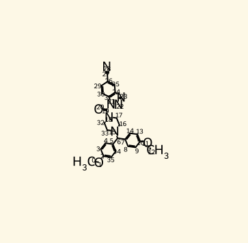 COc1ccc(C(c2ccc(OC)cc2)N2CCN(C(=O)n3nnc4cc(C#N)ccc43)CC2)cc1